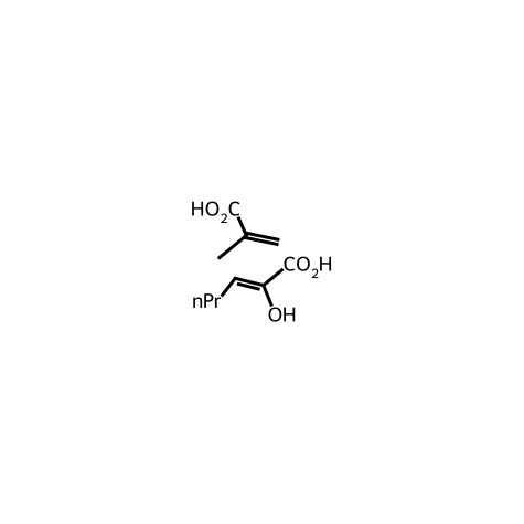 C=C(C)C(=O)O.CCC/C=C(\O)C(=O)O